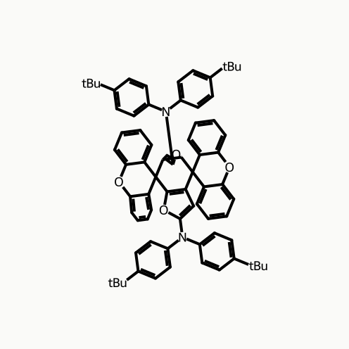 CC(C)(C)c1ccc(N(c2ccc(C(C)(C)C)cc2)c2cc3c(o2)C2(c4ccccc4Oc4ccccc42)c2cc(N(c4ccc(C(C)(C)C)cc4)c4ccc(C(C)(C)C)cc4)oc2C32c3ccccc3Oc3ccccc32)cc1